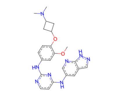 COc1cc(Nc2nccc(Nc3cnc4[nH]ncc4c3)n2)ccc1OC1CC(N(C)C)C1